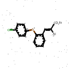 CCOC(=O)C(=Cc1ccccc1Sc1ccc(Cl)cc1)C(C)=O